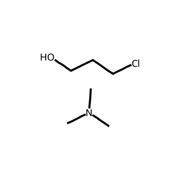 CN(C)C.OCCCCl